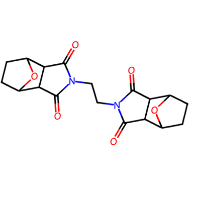 O=C1C2C3CCC(O3)C2C(=O)N1CCN1C(=O)C2C3CCC(O3)C2C1=O